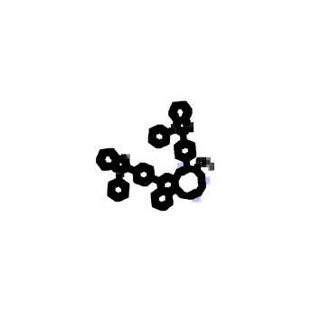 CC1/C=C\C=C/Cc2c(cc(-c3ccc(-c4nc5ccccc5n4-c4ccccc4)cc3)c3ccccc23)/C=C\1c1ccc(-c2nc3ccccc3n2-c2ccccc2)cc1